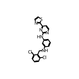 Clc1cccc(Cl)c1CNc1cccc(Nc2nccc(-c3nccs3)n2)c1